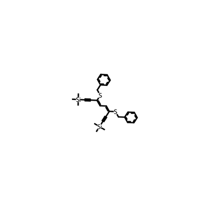 C[Si](C)(C)C#CC(=CC=C(C#C[Si](C)(C)C)SCc1ccccc1)SCc1ccccc1